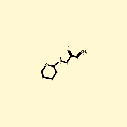 C=CC(=O)C[SiH2]C1CCCCO1